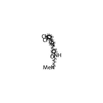 CNCCCCCC(=O)N[C@H]1CC[C@H](CCN2CCN(c3cccc(Cl)c3Cl)CC2)CC1